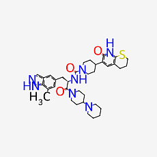 Cc1cc(C[C@@H](NC(=O)N2CCC(c3cc4c([nH]c3=O)SCCC4)CC2)C(=O)N2CCC(N3CCCCC3)CC2)cc2cn[nH]c12